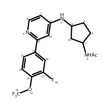 CC(=O)NC1CCC(Nc2ccnc(-c3ccc(OC(F)(F)F)c(F)c3)c2)C1